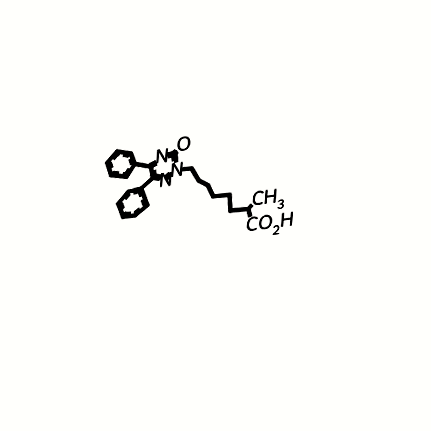 CC(CCCCCCn1nc(-c2ccccc2)c(-c2ccccc2)nc1=O)C(=O)O